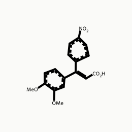 COc1ccc(C(=CC(=O)O)c2ccc([N+](=O)[O-])cc2)cc1OC